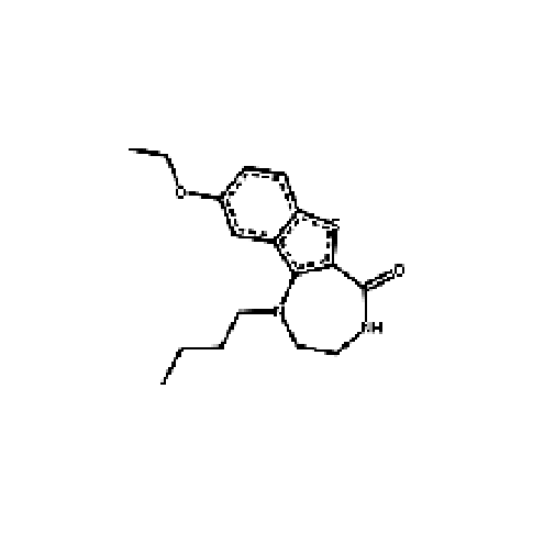 CCCCN1CCNC(=O)c2sc3ccc(OCC)cc3c21